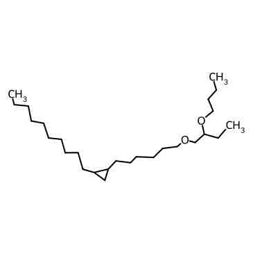 CCCCCCCCCCC1CC1CCCCCCOCC(CC)OCCCC